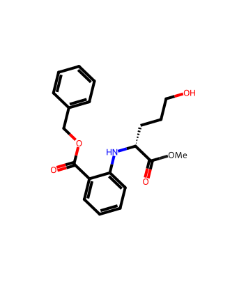 COC(=O)[C@@H](CCCO)Nc1ccccc1C(=O)OCc1ccccc1